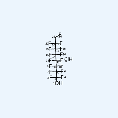 Cl.OC(F)(F)C(F)(F)C(F)(F)C(F)(F)C(F)(F)C(F)(F)C(F)(F)CF